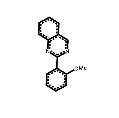 COc1ccccc1-c1ncc2ccccc2n1